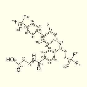 Cc1cc(SC(CCC(F)(F)F)c2ccc(C(=O)NCCC(=O)O)cc2)cc(C)c1-c1ccc(C(F)(F)F)cc1